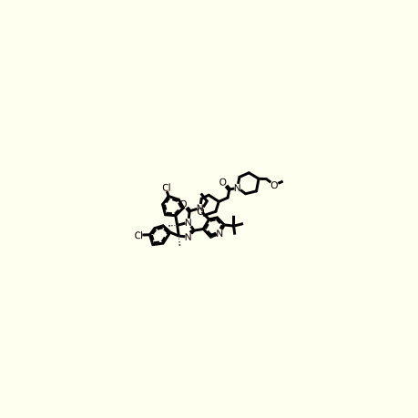 CCOc1cc(C(C)(C)C)ncc1C1=N[C@@](C)(c2ccc(Cl)cc2)[C@@](C)(c2ccc(Cl)cc2)N1C(=O)N1CCC(CC(=O)N2CCC(COC)CC2)CC1